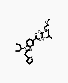 CCC(CC)n1c(Cc2cccs2)nc2cc(C(=O)N[C@@H](CC(C)C)C(=O)NCCOC)ccc21